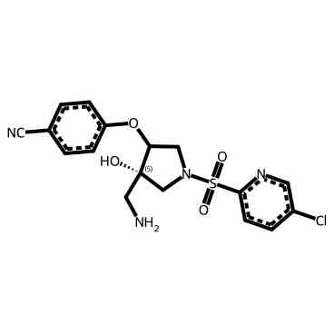 N#Cc1ccc(OC2CN(S(=O)(=O)c3ccc(Cl)cn3)C[C@@]2(O)CN)cc1